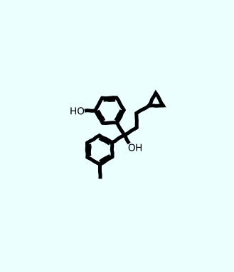 Cc1cccc(C(O)(CCC2CC2)c2cccc(O)c2)c1